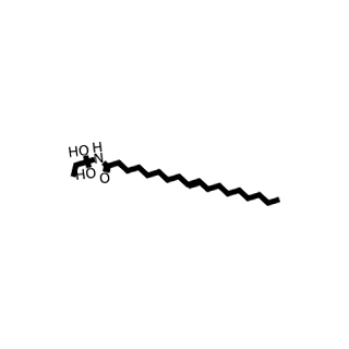 CCCCCCCCC=CCCCCCCCC(=O)NC(O)(O)CC